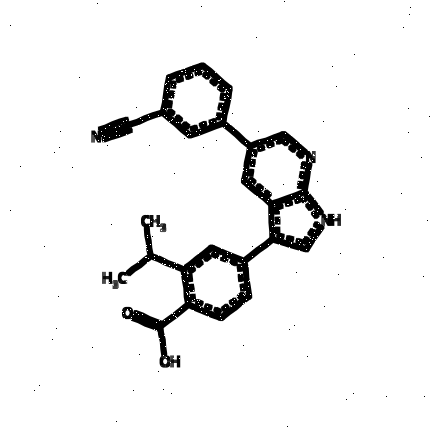 CC(C)c1cc(-c2c[nH]c3ncc(-c4cccc(C#N)c4)cc23)ccc1C(=O)O